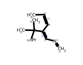 C=N/C=C(\C=C/C)C(C)(C)CCC